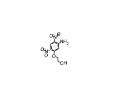 Nc1cc(OCCO)c([N+](=O)[O-])cc1[N+](=O)[O-]